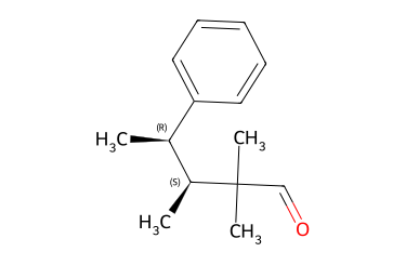 C[C@@H](c1ccccc1)[C@H](C)C(C)(C)C=O